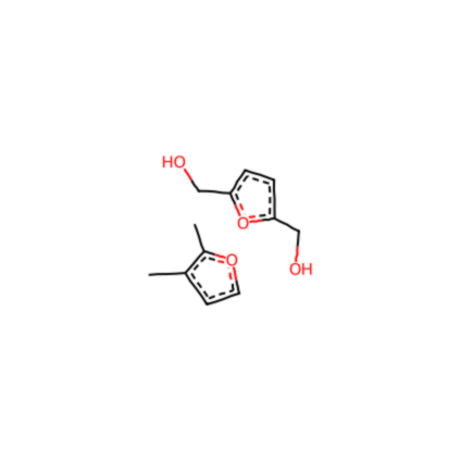 Cc1ccoc1C.OCc1ccc(CO)o1